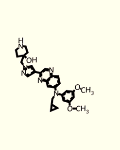 COc1cc(OC)cc(N(CC2CC2)c2ccc3ncc(-c4cnn(CC5(O)CCNCC5)c4)nc3c2)c1